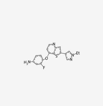 [CH2]Cn1cc(-c2cc3nccc(Oc4ccc(N)cc4F)c3s2)cn1